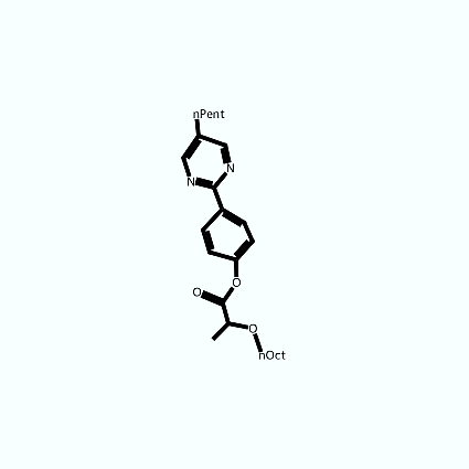 CCCCCCCCOC(C)C(=O)Oc1ccc(-c2ncc(CCCCC)cn2)cc1